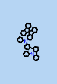 c1ccc(N(c2cccc(-c3cccc4c5ccccc5n(-c5ccccc5)c34)c2)c2ccc3c(c2)C2(c4ccccc4-c4ccccc42)c2ccccc2-3)cc1